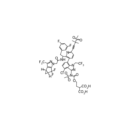 CC(C)(C#Cc1ccc(-c2ccc(Cl)c3c(N(C(=O)OCCC(C(=O)O)C(=O)O)S(C)(=O)=O)nn(CC(F)(F)F)c23)c(C(Cc2cc(F)cc(F)c2)NC(=O)Cn2nc(C(F)(F)F)c3c2C(F)(F)[C@@H]2C[C@H]32)n1)S(C)(=O)=O